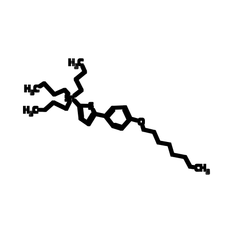 CCCCCCCCOc1ccc(-c2cc[c]([Sn]([CH2]CCC)([CH2]CCC)[CH2]CCC)s2)cc1